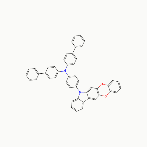 c1ccc(-c2ccc(N(c3ccc(-c4ccccc4)cc3)c3ccc(-n4c5ccccc5c5cc6c(cc54)Oc4ccccc4O6)cc3)cc2)cc1